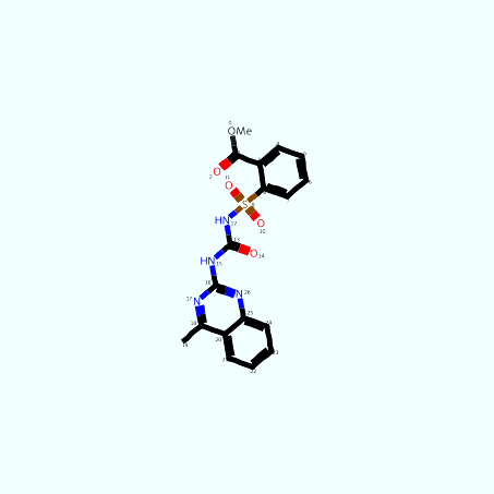 COC(=O)c1ccccc1S(=O)(=O)NC(=O)Nc1nc(C)c2ccccc2n1